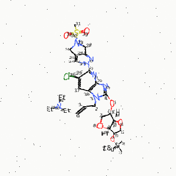 C=CCn1c(O[C@@H]2CO[C@H]3[C@@H]2OC[C@H]3O[Si](C)(C)C(C)(C)C)nc2nc(-n3cc4c(n3)CN(S(C)(=O)=O)C4)c(Cl)cc21.CCN(CC)CC